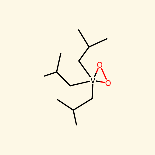 CC(C)[CH2][V]1([CH2]C(C)C)([CH2]C(C)C)[O][O]1